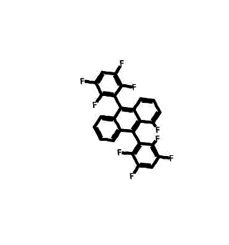 Fc1cc(F)c(F)c(-c2c3ccccc3c(-c3c(F)c(F)cc(F)c3F)c3c(F)cccc23)c1F